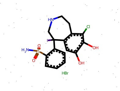 Br.NS(=O)(=O)c1ccccc1C1(I)CNCCc2c1cc(O)c(O)c2Cl